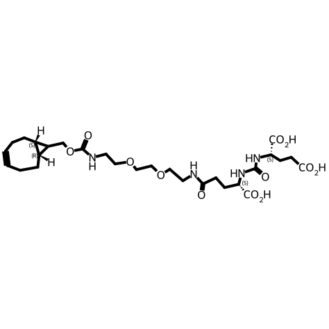 O=C(O)CC[C@H](NC(=O)N[C@@H](CCC(=O)NCCOCCOCCNC(=O)OCC1[C@H]2CCC#CCC[C@@H]12)C(=O)O)C(=O)O